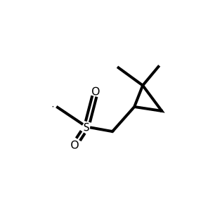 [CH2]S(=O)(=O)CC1CC1(C)C